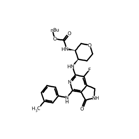 CCCCOC(=O)N[C@H]1COCC[C@H]1Nc1nc(Nc2cccc(C)c2)c2c(c1F)CNC2=O